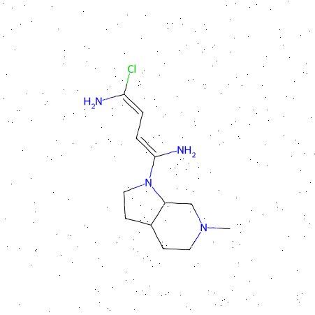 CN1CCC2CCN(/C(N)=C/C=C(\N)Cl)C2C1